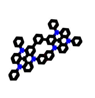 c1ccc(N2c3cccc4c3B3c5c2cccc5N(c2ccccc2)c2cc(-c5cccc(-c6cc7c8c(c6)N(c6ccccc6)c6cccc9c6B8c6c(cccc6N7c6ccccc6)N9c6ccccc6)c5)cc(c23)N4c2ccccc2)cc1